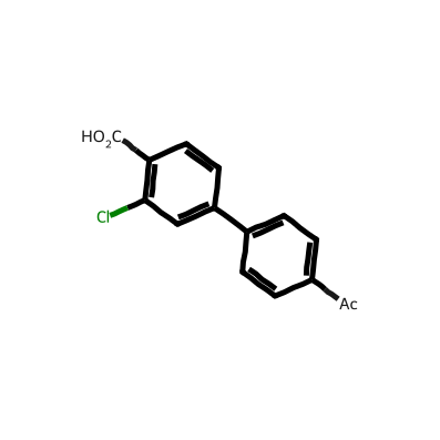 CC(=O)c1ccc(-c2ccc(C(=O)O)c(Cl)c2)cc1